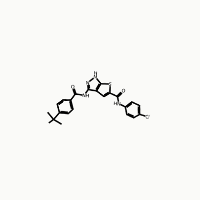 CC(C)(C)c1ccc(C(=O)Nc2n[nH]c3sc(C(=O)Nc4ccc(Cl)cc4)cc23)cc1